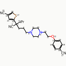 CC(C)C(C#N)(CCCN1CCN(CCOc2ccc(C#N)cc2)CC1)c1cc(C#N)cs1